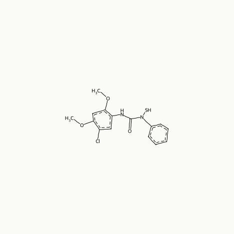 COc1cc(OC)c(NC(=O)N(S)c2ccccc2)cc1Cl